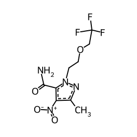 Cc1nn(CCOCC(F)(F)F)c(C(N)=O)c1[N+](=O)[O-]